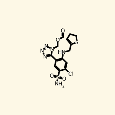 NS(=O)(=O)c1cc(-c2nnnn2COC=O)c(NCC2=CCCS2)cc1Cl